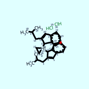 CC(C)CC1=Cc2ccccc2[CH]1[Hf]1([CH]2C(CC(C)C)=Cc3ccccc32)[CH2][CH2]1.Cl.Cl